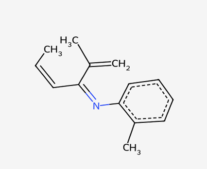 C=C(C)C(/C=C\C)=N\c1ccccc1C